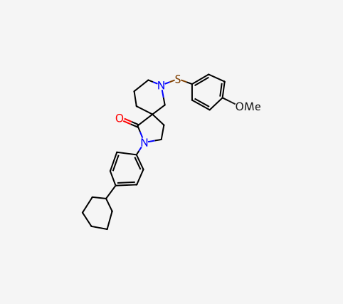 COc1ccc(SN2CCCC3(CCN(c4ccc(C5CCCCC5)cc4)C3=O)C2)cc1